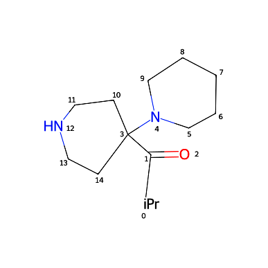 CC(C)C(=O)C1(N2CCCCC2)CCNCC1